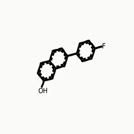 Oc1ccc2ccc(-c3ccc(F)cc3)cc2c1